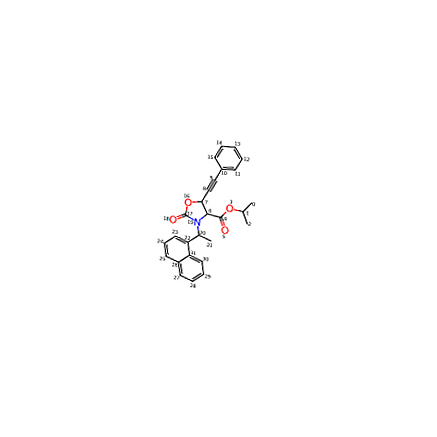 CC(C)OC(=O)C1C(C#Cc2ccccc2)OC(=O)N1C(C)c1cccc2ccccc12